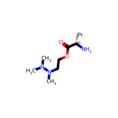 CC(C)[C@H](N)C(=O)OCCN(C)N(C)C